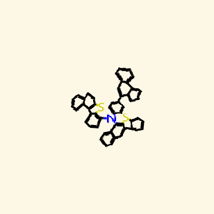 c1ccc2c(N(c3ccc(-c4cc5ccccc5c5ccccc45)cc3)c3cccc4c3sc3ccc5ccccc5c34)c3sc4ccccc4c3cc2c1